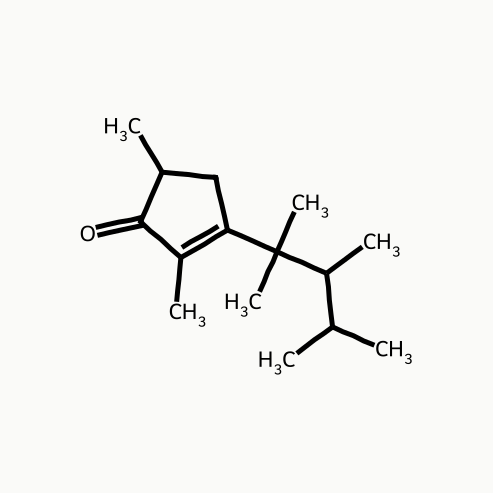 CC1=C(C(C)(C)C(C)C(C)C)CC(C)C1=O